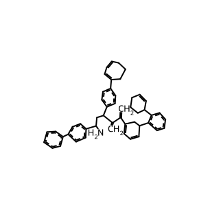 C=C(C(=C)C(CC(N)c1ccc(-c2ccccc2)cc1)c1ccc(C2=CC=CCCC2)cc1)C1=CC=CC(c2ccccc2C2C=CCCC2)C1